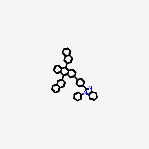 C1=CC(n2c(-c3ccc(-c4ccc5c(-c6ccc7ccccc7c6)c6ccccc6c(-c6ccc7ccccc7c6)c5c4)cc3)nc3c2C=CCC3)=CCC1